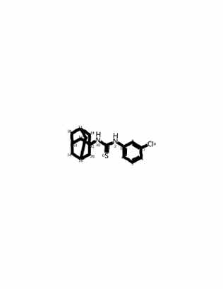 S=C(Nc1cccc(Cl)c1)NC12CC3CC(CC(C3)C1)C2